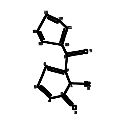 CCC1C(=O)C=CC=C1C(=O)c1ccccc1